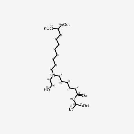 CCCCCCCCC([CH]CCCCCC[CH]N(CCO)CCCCCC(=O)OC(CC)CCCCCCCC)CCCCCCCC